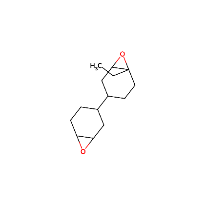 CCC12CCC(C3CCC4OC4C3)CC1O2